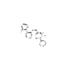 Cc1ccccc1-c1ccnc2cc(NC(C)C(=O)N3CCCCC3)ccc12